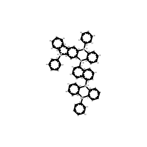 c1ccc(N2c3ccccc3N(c3cccc4c(N5c6ccccc6N(c6ccccc6)c6cc7c8ccccc8n(-c8ccccc8)c7cc65)cccc34)c3ccccc32)cc1